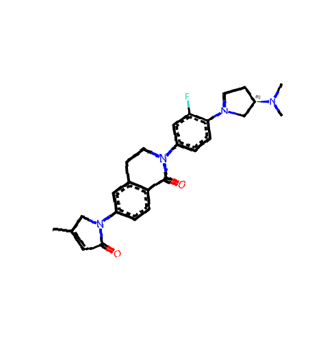 CC1=CC(=O)N(c2ccc3c(c2)CCN(c2ccc(N4CC[C@@H](N(C)C)C4)c(F)c2)C3=O)C1